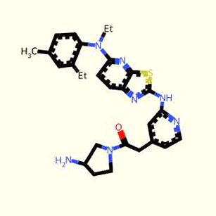 CCc1cc(C)ccc1N(CC)c1ccc2nc(Nc3cc(CC(=O)N4CCC(N)C4)ccn3)sc2n1